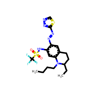 CCCCN1c2cc(NS(=O)(=O)C(F)(F)F)c(N=Nc3nncs3)cc2CCC1CC